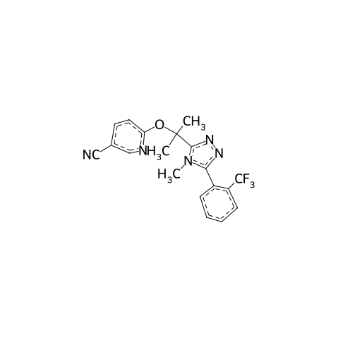 Cn1c(-c2ccccc2C(F)(F)F)nnc1C(C)(C)Oc1ccc(C#N)cn1